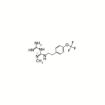 C/N=C(\NCCc1ccc(OC(F)(F)F)cc1)NC(=N)N